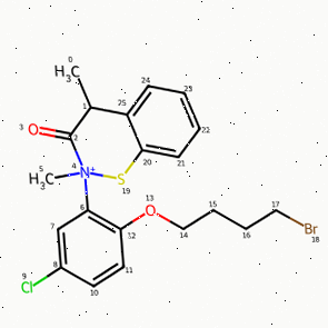 CC1C(=O)[N+](C)(c2cc(Cl)ccc2OCCCCBr)Sc2ccccc21